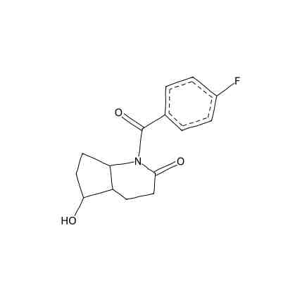 O=C1CCC2C(O)CCC2N1C(=O)c1ccc(F)cc1